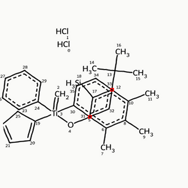 Cl.Cl.[CH2]=[Ti]([O]c1c(C)c(C)c(C)c(C(C)(C)C)c1[SiH3])([C]1=CC=CC1)([c]1ccccc1)[c]1ccccc1